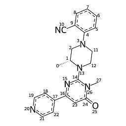 C[C@@H]1CN(c2ccccc2C#N)CCN1c1nc(-c2ccncc2)cc(=O)n1C